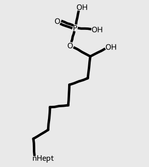 CCCCCCCCCCCCCC(O)OP(=O)(O)O